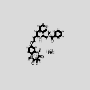 CN(CCNC(CCOc1ccc2c(c1)N(C)C(=O)C(C)(C)C(=O)N2C)Cc1ccncc1)C(=O)c1ccccc1.Cl.Cl